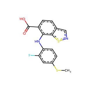 CSc1ccc(Nc2c(C(=O)O)ccc3cnsc23)c(F)c1